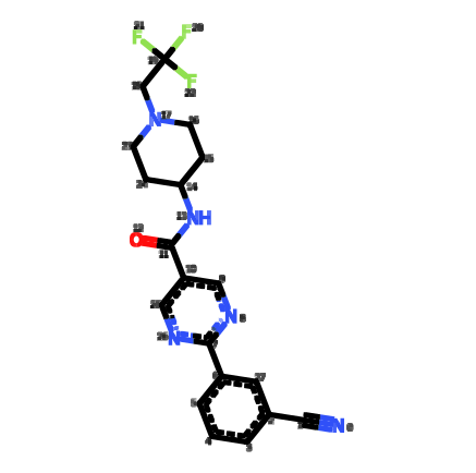 N#Cc1cccc(-c2ncc(C(=O)NC3CCN(CC(F)(F)F)CC3)cn2)c1